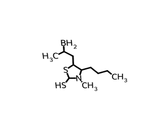 BC(C)CC1SC(S)N(C)C1CCCC